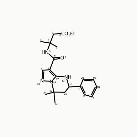 CCOC(=O)CC(C)(C)NC(=O)c1cnn2c1NC(c1ccccc1)CC2(C)C